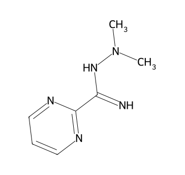 CN(C)NC(=N)c1ncccn1